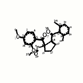 COc1ccc(C(=O)C2(P=O)CCCC2C(=O)c2c(C)cccc2C)c(OC)c1